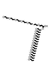 C[CH]COC=CC(=O)O.C[CH]C[O].C[CH]C[O].C[CH]C[O].C[CH]C[O].C[CH]C[O].C[CH]C[O].C[CH]C[O].C[CH]C[O].C[CH]C[O].C[CH]C[O].C[CH]C[O].C[CH]C[O].C[CH]C[O].C[CH]C[O].C[CH]C[O].C[CH]C[O].C[CH]C[O].C[CH]C[O].C[CH]C[O]